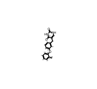 O=c1[nH]cc(Cc2cccc(Oc3ccccc3F)c2)c(=O)[nH]1